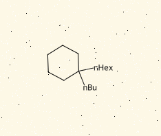 CCCCCCC1(CCCC)CCCCC1